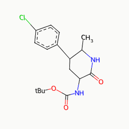 CC1NC(=O)C(NC(=O)OC(C)(C)C)CC1c1ccc(Cl)cc1